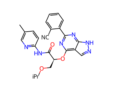 Cc1ccc(NC(=O)[C@H](COC(C)C)Oc2nc(-c3ccccc3C#N)nc3[nH]ncc23)nc1